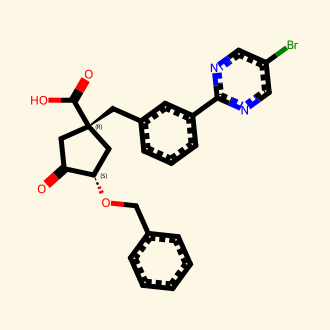 O=C1C[C@](Cc2cccc(-c3ncc(Br)cn3)c2)(C(=O)O)C[C@@H]1OCc1ccccc1